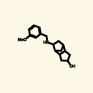 COc1cccc(CNC2CC3CC2C2CC(O)CC32)c1